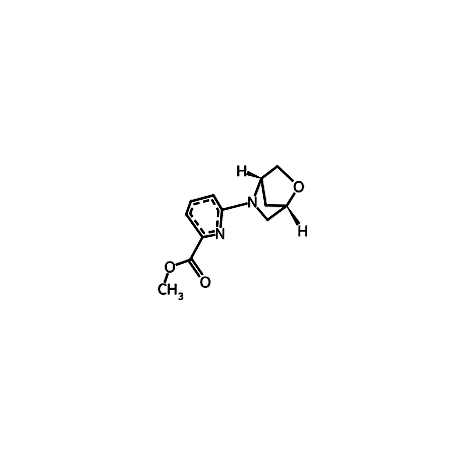 COC(=O)c1cccc(N2C[C@@H]3C[C@H]2CO3)n1